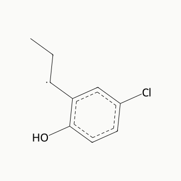 CC[CH]c1cc(Cl)ccc1O